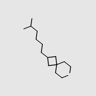 CC(C)CCCCC1CC2(CCNCC2)C1